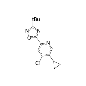 CC(C)(C)c1noc(-c2cc(Cl)c(C3CC3)cn2)n1